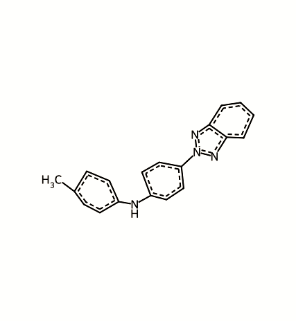 Cc1ccc(Nc2ccc(-n3nc4ccccc4n3)cc2)cc1